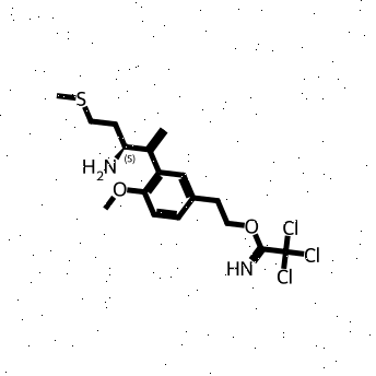 C=C(c1cc(CCOC(=N)C(Cl)(Cl)Cl)ccc1OC)[C@@H](N)CCSC